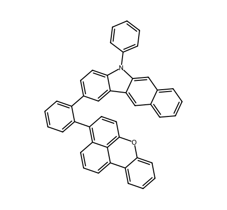 c1ccc(-n2c3ccc(-c4ccccc4-c4ccc5c6c(cccc46)-c4ccccc4O5)cc3c3cc4ccccc4cc32)cc1